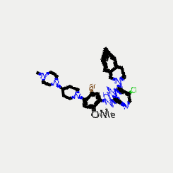 COc1cc(N2CCC(N3CCN(C)CC3)CC2)c(Br)cc1Nc1ncc(Cl)c(N2CCc3ccccc3C2)n1